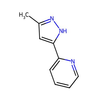 Cc1cc(-c2ccccn2)[nH]n1